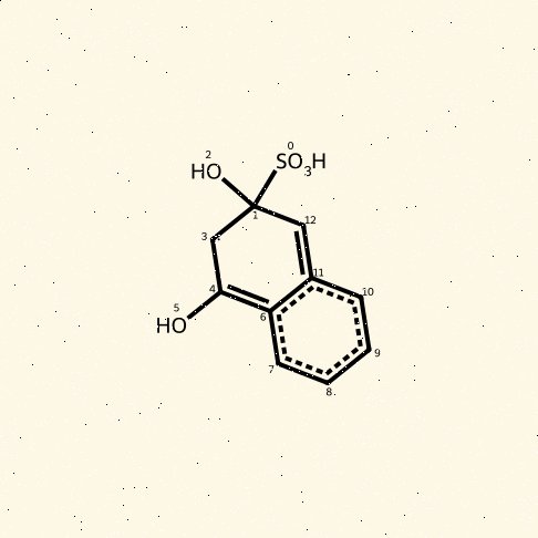 O=S(=O)(O)C1(O)[CH]C(O)=c2ccccc2=C1